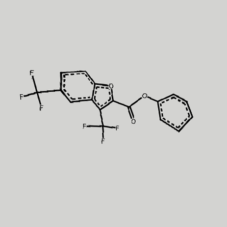 O=C(Oc1ccccc1)c1oc2ccc(C(F)(F)F)cc2c1C(F)(F)F